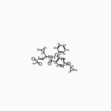 CS(=O)(=O)C=CC(NC(=O)c1cnc(OC2CC2)nc1Oc1ccccc1)C1CC1